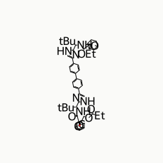 CCC(=O)OCC1(C(=O)N[C@H](c2nc(-c3ccc(-c4ccc(-c5c[nH]c([C@@H](NC(=O)C6(CC)OC7CCC6CC7)C(C)(C)C)n5)cc4)cc3)c[nH]2)C(C)(C)C)OC2CCC1CC2